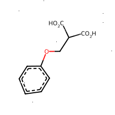 O=C(O)C(COc1ccccc1)C(=O)O